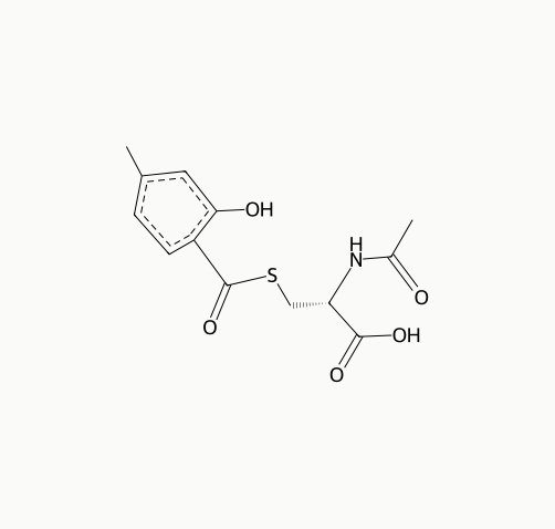 CC(=O)N[C@@H](CSC(=O)c1ccc(C)cc1O)C(=O)O